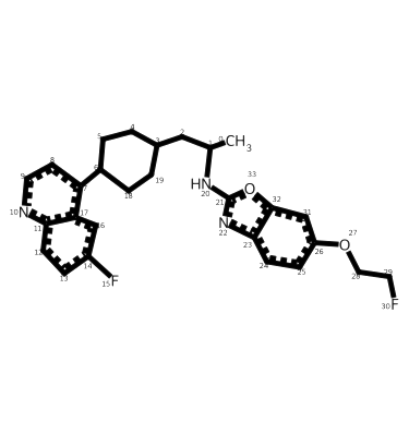 CC(CC1CCC(c2ccnc3ccc(F)cc23)CC1)Nc1nc2ccc(OCCF)cc2o1